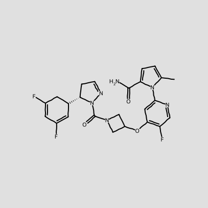 Cc1ccc(C(N)=O)n1-c1cc(OC2CN(C(=O)N3N=CC[C@H]3C3C=C(F)C=C(F)C3)C2)c(F)cn1